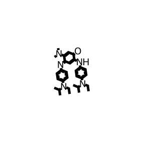 CCN(c1ccc(N=C2C=C(Nc3ccc(N(CC)C(C)C)cc3)C(=O)C=C2N(C)C)cc1)C(C)C